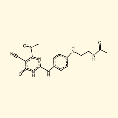 CC(=O)NCCNc1ccc(Nc2nc([S+](C)[O-])c(C#N)c(=O)[nH]2)cc1